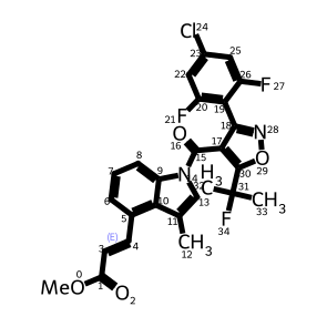 COC(=O)/C=C/c1cccc2c1c(C)cn2C(=O)c1c(-c2c(F)cc(Cl)cc2F)noc1C(C)(C)F